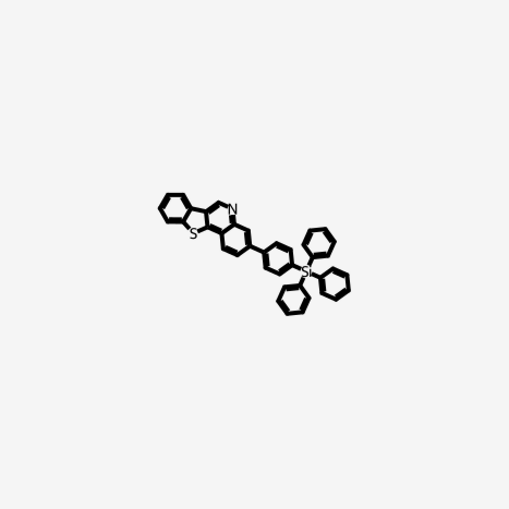 c1ccc([Si](c2ccccc2)(c2ccccc2)c2ccc(-c3ccc4c(c3)ncc3c5ccccc5sc43)cc2)cc1